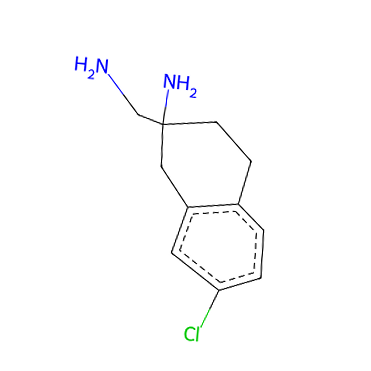 NCC1(N)CCc2ccc(Cl)cc2C1